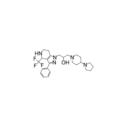 OC(CN1CCC(N2CCCC2)CC1)Cn1nc(-c2ccccc2)c2c1CCNC2C(F)(F)F